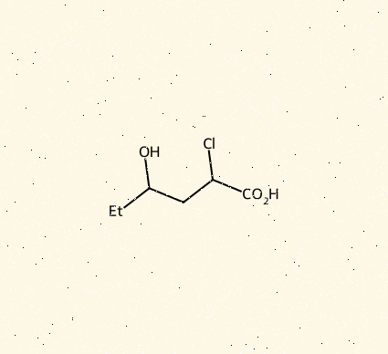 CCC(O)CC(Cl)C(=O)O